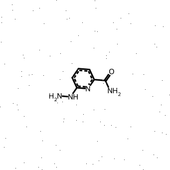 NNc1cccc(C(N)=O)n1